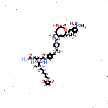 C/C(=C\c1cccc(N(C)C)c1)[C@H]1OC(=O)C[C@H](O)CC[C@H](C)[C@@H](OC(=O)N2CCN(C(=O)OCc3ccc(NC(=O)[C@H](CCCNC(N)=O)NC(=O)[C@@H](NC(=O)CCCCCN4C(=O)C=CC4=O)C(C)C)cc3)CC2)/C=C/[C@@H]1C